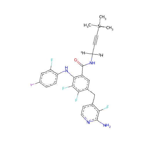 [2H]C([2H])(C#C[Si](C)(C)C)NC(=O)c1cc(Cc2ccnc(N)c2F)c(F)c(F)c1Nc1ccc(I)cc1F